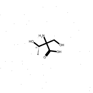 C[C@H](O)C(N)(CO)C(=O)O